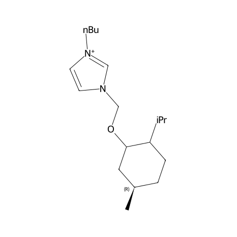 CCCC[n+]1ccn(COC2C[C@H](C)CCC2C(C)C)c1